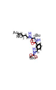 CCC(C)[C@H](NC(=O)c1cccc(CNC(=O)OC(C)(C)C)c1)C(=O)NCCCCC(C(C)=O)[N+](=O)[O-]